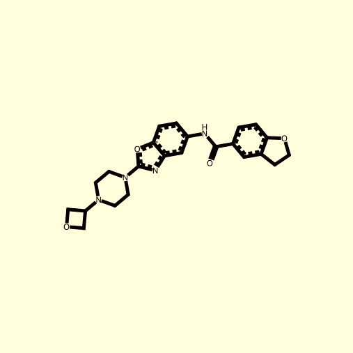 O=C(Nc1ccc2oc(N3CCN(C4COC4)CC3)nc2c1)c1ccc2c(c1)CCO2